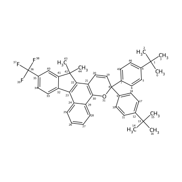 CC(C)(C)c1ccc(C2(c3ccc(C(C)(C)C)cc3)C=Cc3c4c(c5ccccc5c3O2)-c2ccc(C(F)(F)F)cc2C4(C)C)cc1